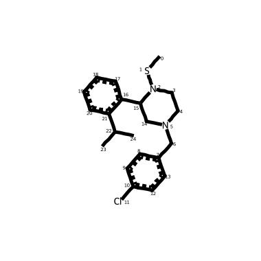 CSN1CCN(Cc2ccc(Cl)cc2)CC1c1ccccc1C(C)C